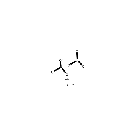 [Gd+3].[O-]B([O-])[O-].[O-]B([O-])[O-].[Y+3]